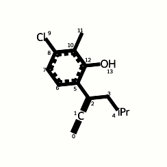 C=C=C(CC(C)C)c1ccc(Cl)c(C)c1O